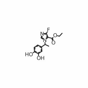 CCOC(=O)c1c(F)ncn1C(C)c1ccc(O)c(O)c1